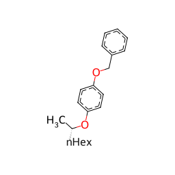 CCCCCC[C@H](C)Oc1ccc(OCc2ccccc2)cc1